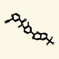 Cc1cc(-c2ncc3cc(C(F)(F)F)ccc3n2)ccc1N(C)C(=O)c1ccnc(C#N)c1